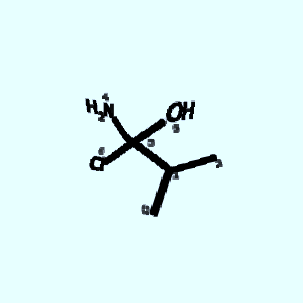 CC(C)C(N)(O)Cl